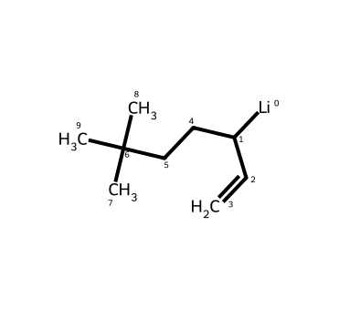 [Li][CH](C=C)CCC(C)(C)C